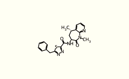 C[C@H]1C[C@H](NC(=O)c2nnc(Cc3ccccc3)s2)C(=O)N(C)c2ncccc21